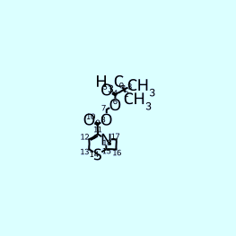 CC(C)(C)C(=O)OCOC(=O)C1=CCSC2CCN12